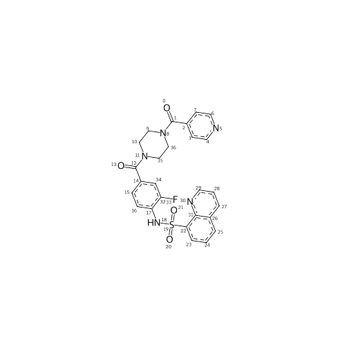 O=C(c1ccncc1)N1CCN(C(=O)c2ccc(NS(=O)(=O)c3cccc4cccnc34)c(F)c2)CC1